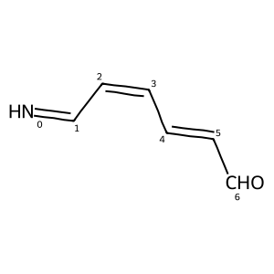 N=C/C=C\C=C\C=O